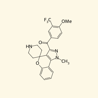 COc1ccc(C(=O)c2nn(C)c3c2C2(CCNCC2)Oc2ccccc2-3)cc1C(F)(F)F